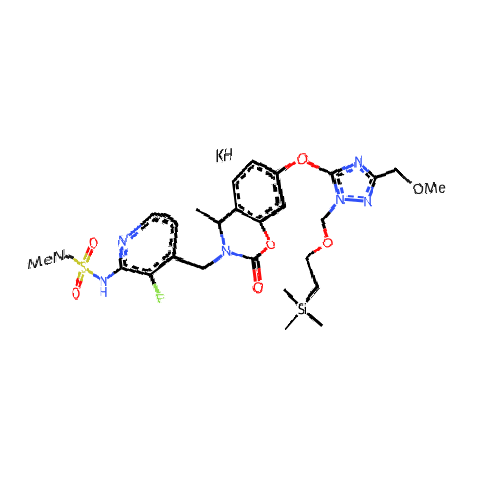 CNS(=O)(=O)Nc1nccc(CN2C(=O)Oc3cc(Oc4nc(COC)nn4COCC[Si](C)(C)C)ccc3C2C)c1F.[KH]